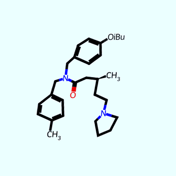 Cc1ccc(CN(Cc2ccc(OCC(C)C)cc2)C(=O)C[C@@H](C)CCN2CCCC2)cc1